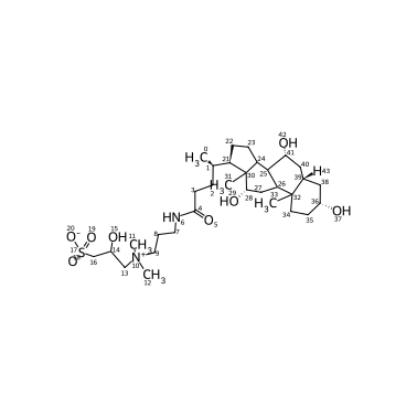 C[C@H](CCC(=O)NCCC[N+](C)(C)CC(O)CS(=O)(=O)[O-])[C@H]1CCC2C3C(C[C@H](O)C21C)C1(C)CC[C@@H](O)C[C@H]1C[C@H]3O